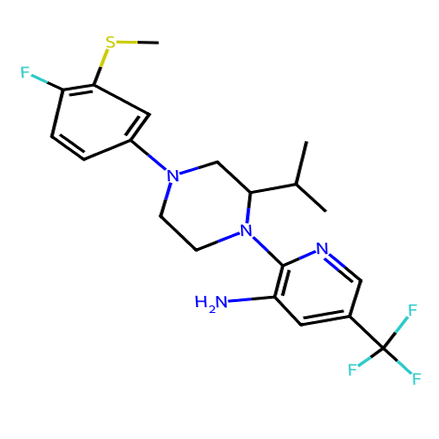 CSc1cc(N2CCN(c3ncc(C(F)(F)F)cc3N)C(C(C)C)C2)ccc1F